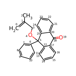 C=C(C)COC1(c2ccccc2)c2ccccc2C(=O)c2ccccc21